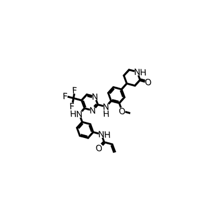 C=CC(=O)Nc1cccc(Nc2nc(Nc3ccc(C4CCNC(=O)C4)cc3OC)ncc2C(F)(F)F)c1